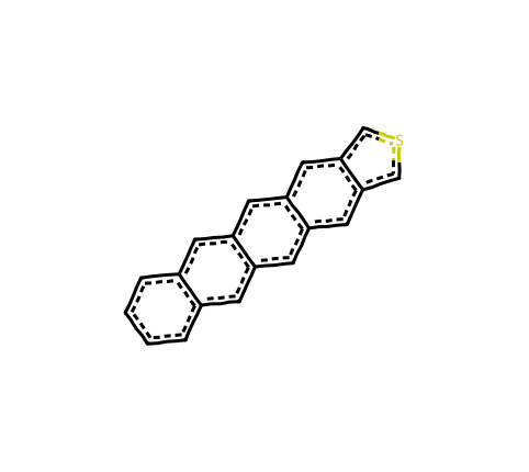 c1ccc2cc3cc4cc5cscc5cc4cc3cc2c1